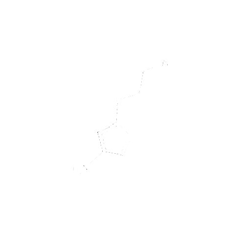 O=[N+]([O-])c1csc(OCCBr)c1